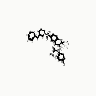 CC1(C)Oc2ccc(S(=O)(=O)N3CCCC(Cc4ccccc4)C3)cc2[C@@H](/N=C(/NC#N)Nc2ccc(Cl)cc2)[C@@H]1O